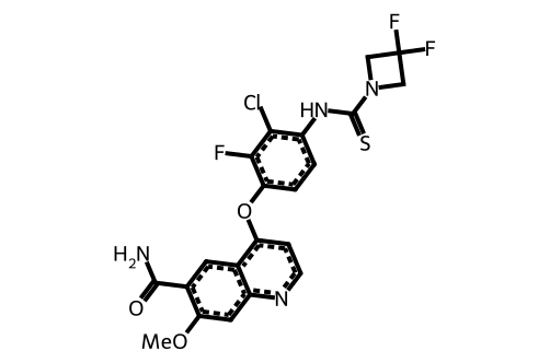 COc1cc2nccc(Oc3ccc(NC(=S)N4CC(F)(F)C4)c(Cl)c3F)c2cc1C(N)=O